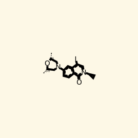 C[C@@H]1CN(c2ccc3c(=O)n(C4CC4)cc(I)c3c2)C[C@H](C)O1